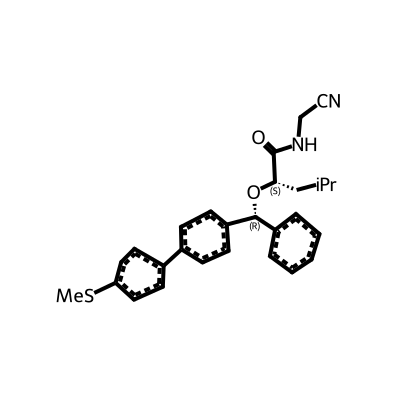 CSc1ccc(-c2ccc([C@H](O[C@@H](CC(C)C)C(=O)NCC#N)c3ccccc3)cc2)cc1